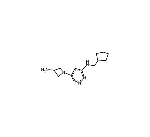 NC1CN(c2cnnc(NCC3CCCC3)c2)C1